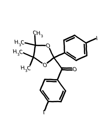 CC1(C)OC(C(=O)c2ccc(I)cc2)(c2ccc(I)cc2)OC1(C)C